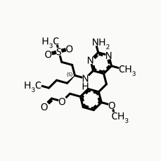 CCCC[C@@H](CCS(C)(=O)=O)Nc1nc(N)nc(C)c1Cc1cc(COC=O)ccc1OC